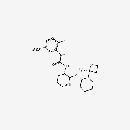 COc1ccc(F)c(NC(=O)NC2CCCNC2O[C@H]2CCCCC2[C@]2(C(F)(F)F)CCO2)c1